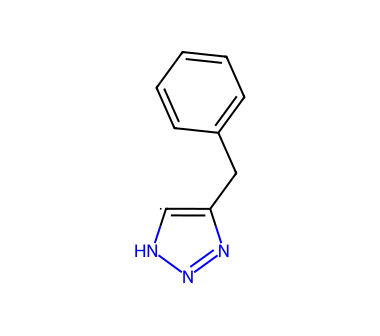 [c]1[nH]nnc1Cc1ccccc1